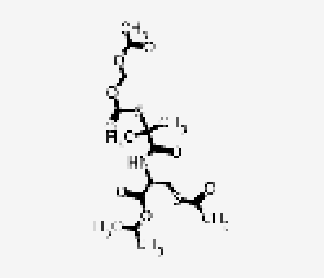 CC(=O)OCOC(=O)SC(C)(C)C(=O)N[C@@H](CSC(C)=O)C(=O)OC(C)C